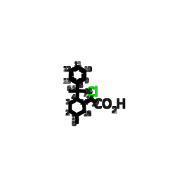 CC1CCC(C(C)(C)c2ccccc2)C(C(Cl)C(=O)O)C1